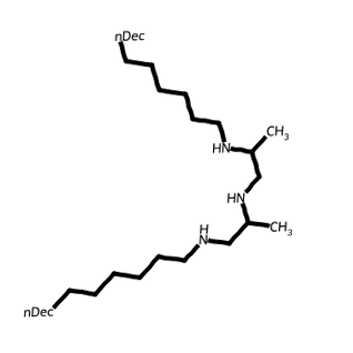 CCCCCCCCCCCCCCCCNCC(C)NCC(C)NCCCCCCCCCCCCCCCC